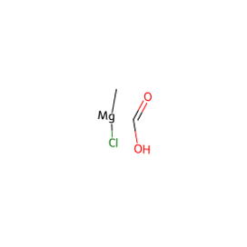 O=CO.[CH3][Mg][Cl]